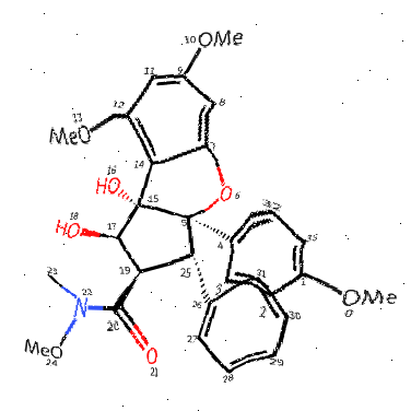 COc1ccc([C@@]23Oc4cc(OC)cc(OC)c4[C@]2(O)[C@H](O)[C@H](C(=O)N(C)OC)[C@H]3c2ccccc2)cc1